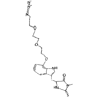 CN1C(=O)C(Cc2c[nH]c3c(OCCOCCOCCN=[N+]=[N-])cccc23)NC1=S